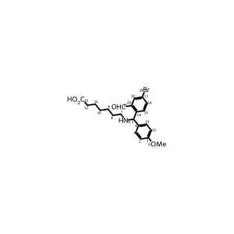 COc1ccc(C(NCCCCCCC(=O)O)c2ccc(Br)cc2C=O)cc1